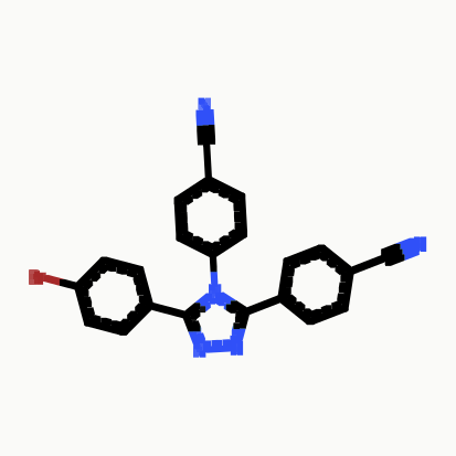 N#Cc1ccc(-c2nnc(-c3ccc(Br)cc3)n2-c2ccc(C#N)cc2)cc1